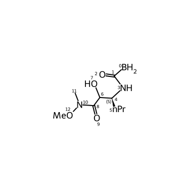 BC(=O)N[C@@H](CCC)C(O)C(=O)N(C)OC